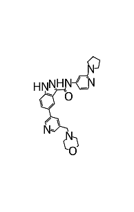 O=C(Nc1ccnc(N2CCCC2)c1)c1n[nH]c2ccc(-c3cncc(CN4CCOCC4)c3)cc12